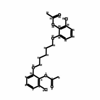 CC(=O)Oc1c(Cl)cccc1OCCCCCOc1cccc(Cl)c1OC(C)=O